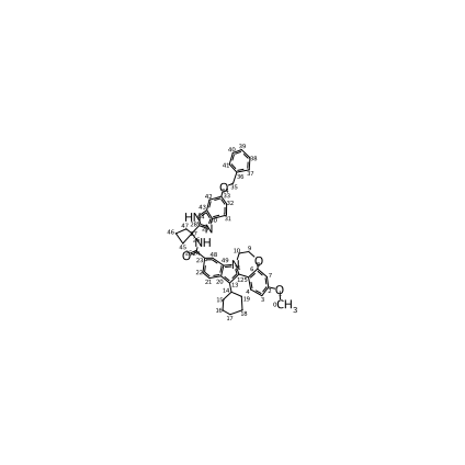 COc1ccc2c(c1)OCCn1c-2c(C2CCCCC2)c2ccc(C(=O)NC3(c4nc5ccc(OCc6ccccc6)cc5[nH]4)CCC3)cc21